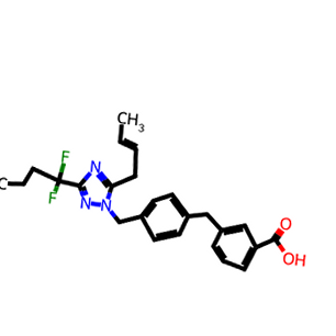 C/C=C/Cc1nc(C(F)(F)CCC)nn1Cc1ccc(Cc2cccc(C(=O)O)c2)cc1